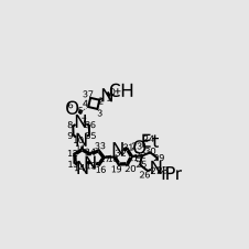 C#[N+][C@H]1C[C@H](C(=O)N2CCN(c3ccnn4cc(-c5ccc(C6(OCC)CCN(C(C)C)CC6)cn5)cc34)CC2)C1